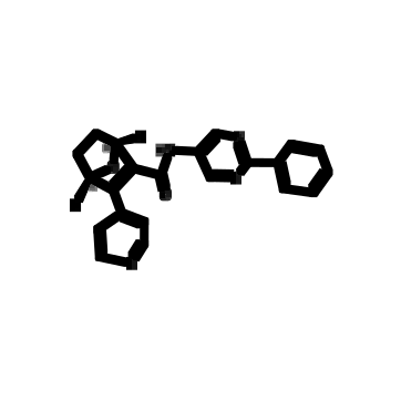 O=C(Nc1cnc(-c2ccccc2)nc1)C1=C(c2ccncc2)[C@@H]2CC[C@H]1O2